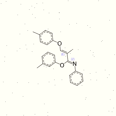 CC(=C\Oc1ccc(C)cc1)/C(=N/c1ccccc1)Oc1cccc(C)c1